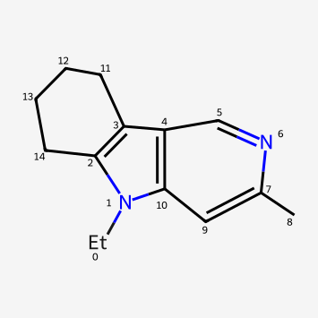 CCn1c2c(c3cnc(C)cc31)CCCC2